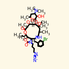 CC[C@H]1OC(=O)[C@H](C)C(=O)[C@H](C)[C@@H](O[C@@H]2OC(C)CC(N(C)C)C2O)[C@](C)(OC)C[C@@H](C)CN[C@H](Cc2cccc(Br)c2)[C@H]2N(CCCCN=[N+]=[N-])C(=O)O[C@]12C